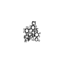 COc1ccc(F)cc1C(C)(C)CC(O)(Cc1cccc(-c2cc(Cl)ccc2Cl)c1)C(F)(F)F